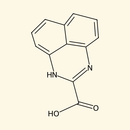 O=C(O)C1=Nc2cccc3cccc(c23)N1